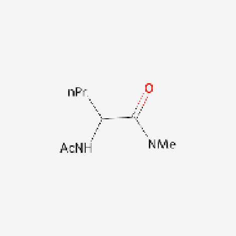 CCCC(NC(C)=O)C(=O)NC